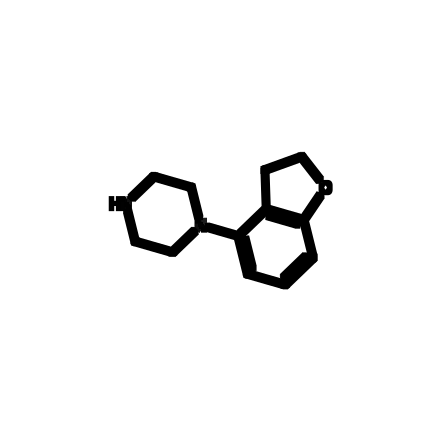 c1cc2c(c(N3CCNCC3)c1)CCO2